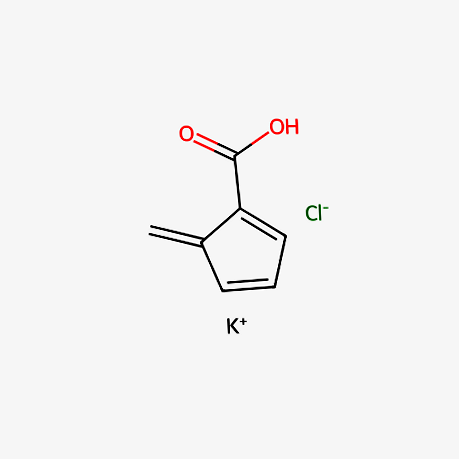 C=C1C=CC=C1C(=O)O.[Cl-].[K+]